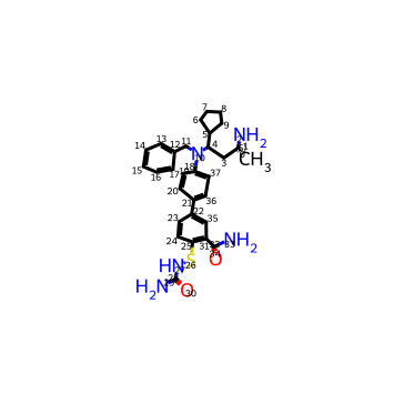 C[C@H](N)CC(C1CCCC1)N(Cc1ccccc1)c1ccc(-c2ccc(SNC(N)=O)c(C(N)=O)c2)cc1